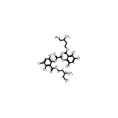 CC(C)CC(C)CCOC(=O)c1c(Cl)c(Cl)cc(Cl)c1OC(=O)C(=O)Oc1c(Cl)cc(Cl)c(Cl)c1C(=O)OCCC(C)CC(C)C